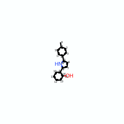 Cc1ccc(-c2ccc(-c3ccccc3O)[nH]2)cc1